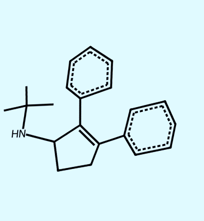 CC(C)(C)NC1CCC(c2ccccc2)=C1c1ccccc1